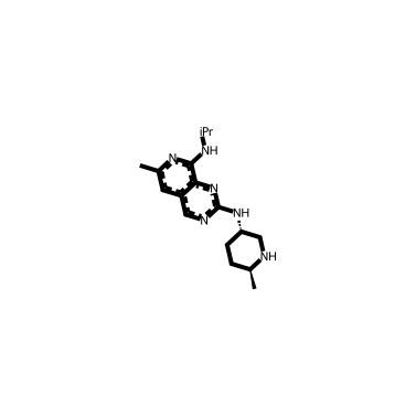 Cc1cc2cnc(N[C@H]3CC[C@H](C)NC3)nc2c(NC(C)C)n1